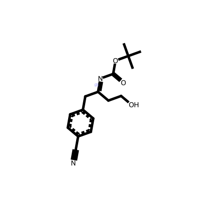 CC(C)(C)OC(=O)/N=C(\CCO)Cc1ccc(C#N)cc1